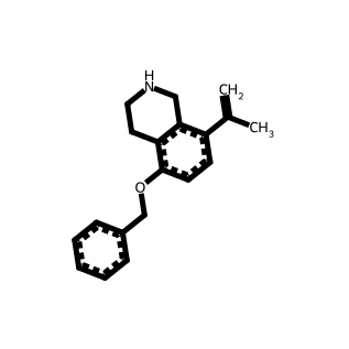 C=C(C)c1ccc(OCc2ccccc2)c2c1CNCC2